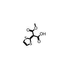 COC(=O)C(C(=O)O)=C1SC=CS1